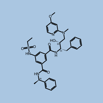 CCS(=O)(=O)Nc1cc(C(=O)N[C@@H](Cc2ccccc2)[C@H](O)CN(C)c2cc(OC)ccn2)cc(C(=O)N[C@H](C)c2ccccc2)c1